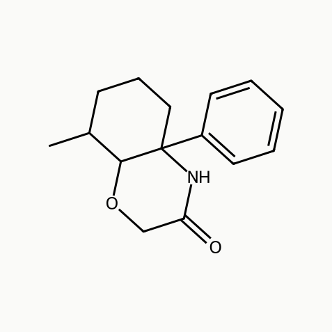 CC1CCCC2(c3ccccc3)NC(=O)COC12